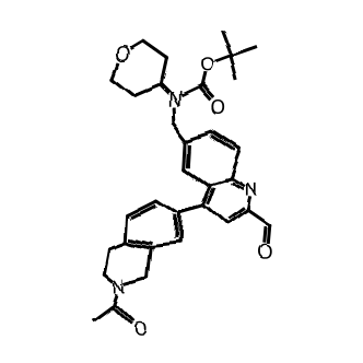 CC(=O)N1CCc2ccc(-c3cc(C=O)nc4ccc(CN(C(=O)OC(C)(C)C)C5CCOCC5)cc34)cc2C1